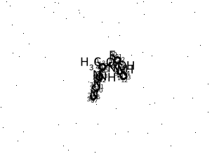 Cc1cc(C(=O)N[C@@H](c2cc3ccccc3[nH]2)c2cc(F)ccc2O)cc(-c2ncc(N3CCC(n4cccc4)CC3)cn2)c1